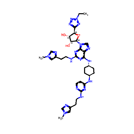 CCn1nnc([C@H]2O[C@@H](n3cnc4c(N[C@H]5CC[C@H](Nc6ccnc(NCCc7cn(C)cn7)n6)CC5)nc(NCCc5cn(C)cn5)nc43)[C@H](O)[C@@H]2O)n1